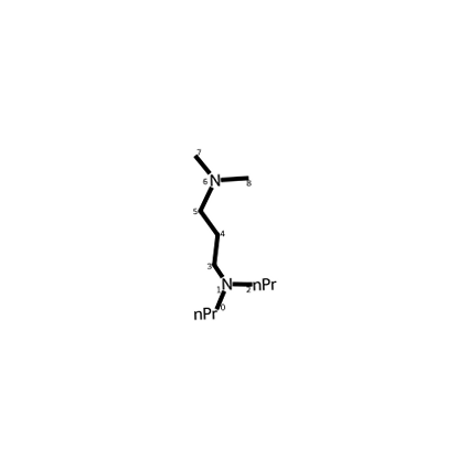 CCCN(CCC)CCCN(C)C